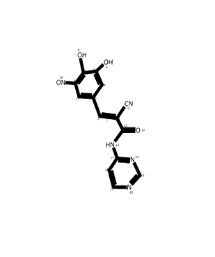 N#C/C(=C\c1cc(O)c(O)c(N=O)c1)C(=O)Nc1ccncn1